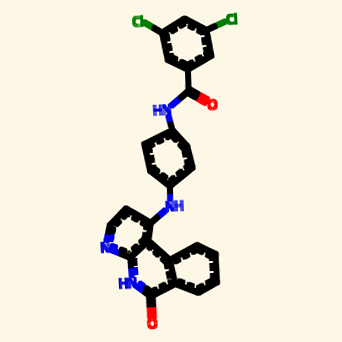 O=C(Nc1ccc(Nc2ccnc3[nH]c(=O)c4ccccc4c23)cc1)c1cc(Cl)cc(Cl)c1